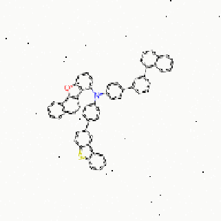 c1cc(-c2ccc(N(c3ccc(-c4ccc5sc6ccccc6c5c4)cc3)c3cccc4oc5c6ccccc6ccc5c34)cc2)cc(-c2cccc3ccccc23)c1